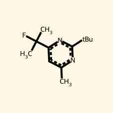 Cc1cc(C(C)(C)F)nc(C(C)(C)C)n1